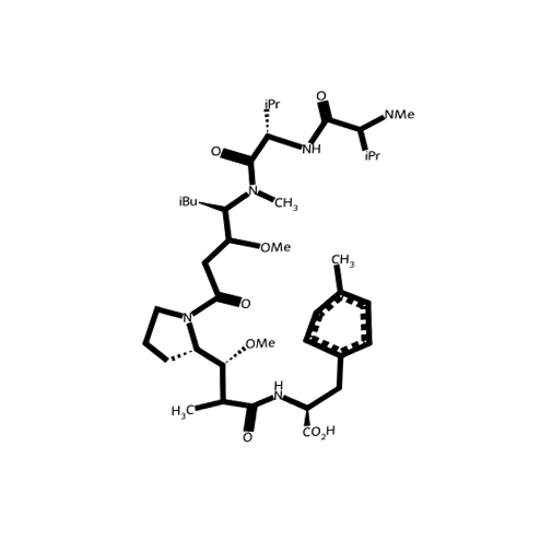 CC[C@H](C)C(C(CC(=O)N1CCC[C@H]1[C@H](OC)C(C)C(=O)N[C@@H](Cc1ccc(C)cc1)C(=O)O)OC)N(C)C(=O)[C@@H](NC(=O)C(NC)C(C)C)C(C)C